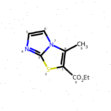 CCOC(=O)c1sc2nccn2c1C